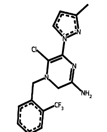 Cc1ccn(C2=C(Cl)N(Cc3ccccc3C(F)(F)F)CC(N)=N2)n1